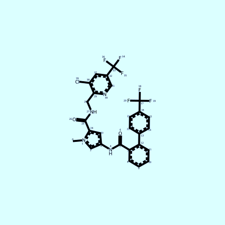 Cn1cc(NC(=O)c2ccccc2-c2ccc(C(F)(F)F)cc2)cc1C(=O)NCc1ncc(C(F)(F)F)cc1Cl